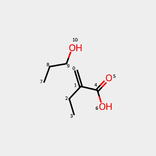 C=C(CC)C(=O)O.CCCO